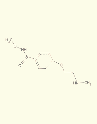 CNCCOc1ccc(C(=O)NOC)cc1